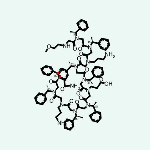 COCCNCC(=O)N(CC(=O)N(CC(=O)N(CCCN)CC(=O)N(CC(=O)N(CC(=O)N(CCC(=O)O)CC(=O)N(CC(=O)N(CC(=O)N(CCCN)CC(=O)N(CC(=O)N(CC(N)=O)[C@@H](C)c1ccccc1)[C@@H](C)c1ccccc1)[C@@H](C)c1ccccc1)[C@@H](C)c1ccccc1)[C@@H](C)c1ccccc1)[C@@H](C)c1ccccc1)[C@@H](C)c1ccccc1)[C@@H](C)c1ccccc1